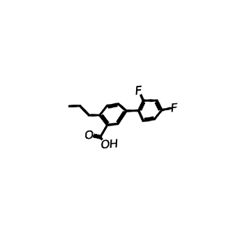 CCCc1ccc(-c2ccc(F)cc2F)cc1C(=O)O